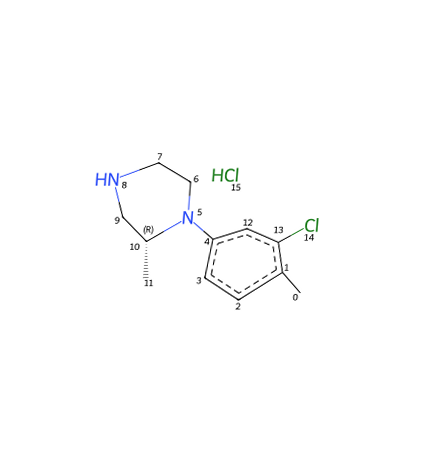 Cc1ccc(N2CCNC[C@H]2C)cc1Cl.Cl